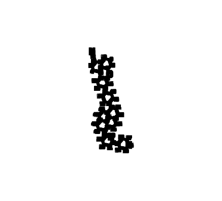 N#Cc1ccc2c3c(cccc13)Oc1cc(-c3ccc(-c4ccc5ccc6c(-c7cccc(-c8ccncc8)n7)ccc7ccc4c5c76)cc3)ccc1-2